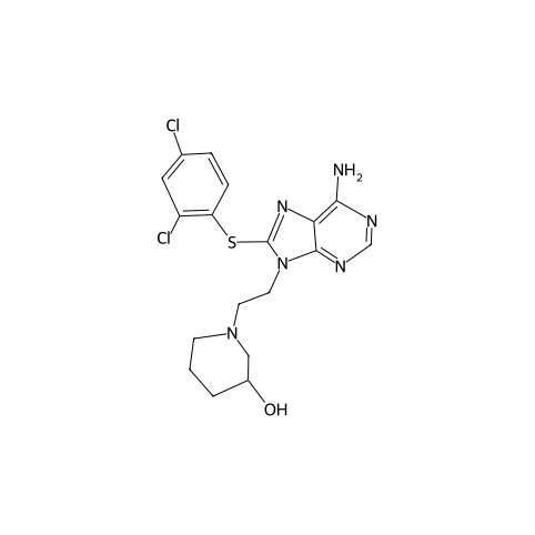 Nc1ncnc2c1nc(Sc1ccc(Cl)cc1Cl)n2CCN1CCCC(O)C1